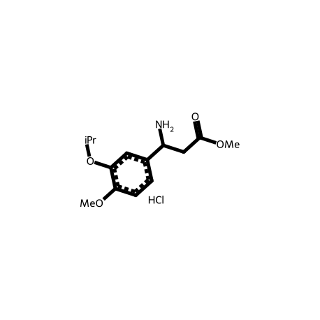 COC(=O)CC(N)c1ccc(OC)c(OC(C)C)c1.Cl